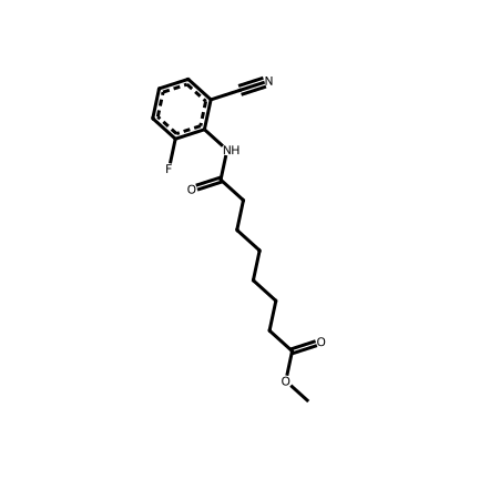 COC(=O)CCCCCCC(=O)Nc1c(F)cccc1C#N